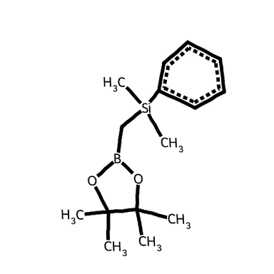 CC1(C)OB(C[Si](C)(C)c2ccccc2)OC1(C)C